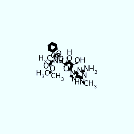 CNc1nc(N)nc2c1ncn2[C@@H]1O[C@H](CO[P@](=O)(NC(C)C(=O)OC(C)C)Oc2ccccc2)[C@@H](O)[C@@H]1CO